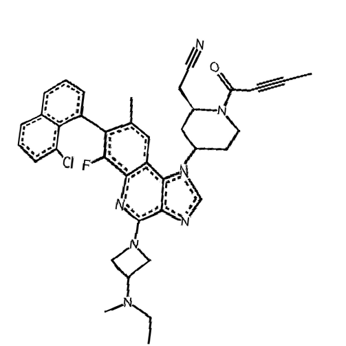 CC#CC(=O)N1CCC(n2cnc3c(N4CC(N(C)CC)C4)nc4c(F)c(-c5cccc6cccc(Cl)c56)c(C)cc4c32)C[C@H]1CC#N